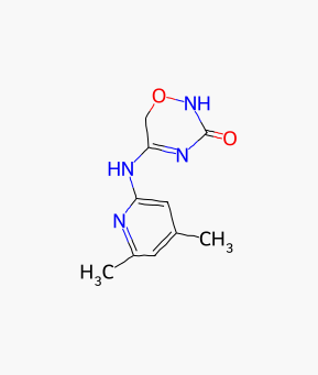 Cc1cc(C)nc(NC2=NC(=O)NOC2)c1